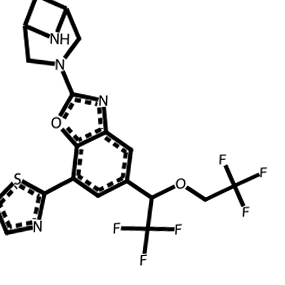 FC(F)(F)COC(c1cc(-c2nccs2)c2oc(N3CC4CC(C3)N4)nc2c1)C(F)(F)F